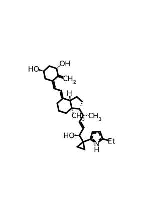 C=C1/C(=C\C=C2/CCC[C@]3(C)[C@@H]([C@H](C)/C=C/[C@H](O)C4(c5ccc(CC)[nH]5)CC4)CC[C@@H]23)C[C@@H](O)C[C@@H]1O